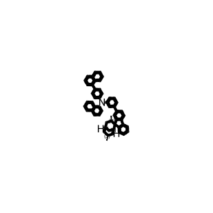 C[C@H]1C[C@@H]2C[C@H](C1)C1(c3ccccc3-c3ccc(-c4cccc(N(c5ccc(-c6cccc7ccccc67)cc5)c5cccc6ccccc56)c4)cc31)[C@H](C)C2